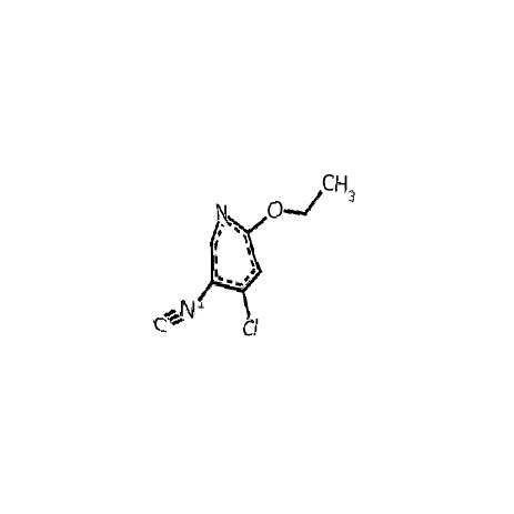 [C-]#[N+]c1cnc(OCC)cc1Cl